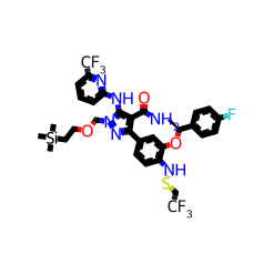 C[C@H](Oc1cc(-c2nn(COCC[Si](C)(C)C)c(Nc3cccc(C(F)(F)F)n3)c2C(N)=O)ccc1NSCC(F)(F)F)c1ccc(F)cc1